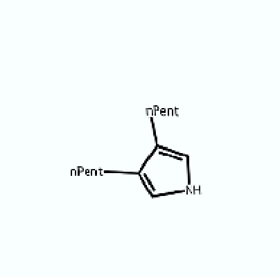 CCCCCc1c[nH]cc1CCCCC